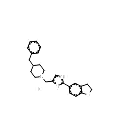 Cl.c1ccc(CC2CCN(Cc3c[nH]c(-c4ccc5c(c4)CCO5)n3)CC2)cc1